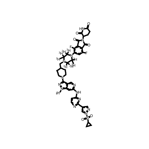 [2H]C1([2H])N(CC2CCN(c3nn(C(C)C)c4cc(Nc5ccnc(-c6cnn(S(=O)(=O)C7CC7)c6)n5)ncc34)CC2)C([2H])([2H])C([2H])([2H])N(c2cc(F)c3c(c2F)C(=O)N(C2CCC(=O)NC2=O)C3=O)C1([2H])[2H]